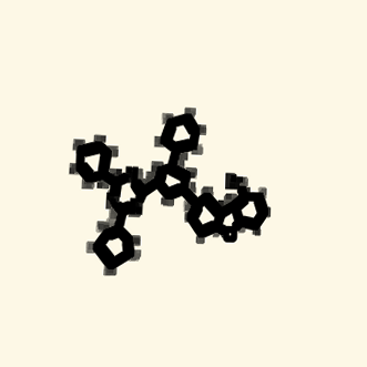 Brc1cccc2oc3ccc(-c4cc(-c5ccccc5)cc(-c5nc(-c6ccccc6)nc(-c6ccccc6)n5)c4)cc3c12